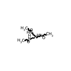 CC=CC(=O)NCCCN(CCCNC(=O)C=CC)CCCNC(=O)C=CC